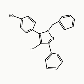 CCc1c(-c2cc[c]cc2)nn(Cc2ccccc2)c1-c1ccc(O)cc1